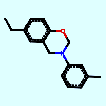 CCc1ccc2c(c1)CN(c1cccc(C)c1)CO2